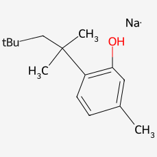 Cc1ccc(C(C)(C)CC(C)(C)C)c(O)c1.[Na]